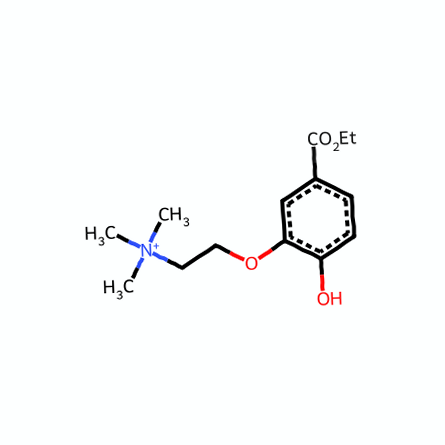 CCOC(=O)c1ccc(O)c(OCC[N+](C)(C)C)c1